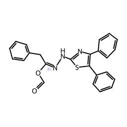 O=CO/C(Cc1ccccc1)=N/Nc1nc(-c2ccccc2)c(-c2ccccc2)s1